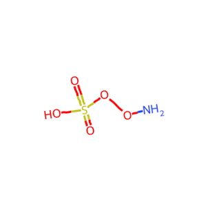 NOOS(=O)(=O)O